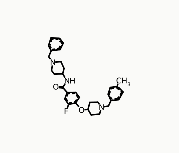 Cc1ccc(CN2CCC(Oc3ccc(C(=O)NC4CCN(Cc5ccccc5)CC4)cc3F)CC2)cc1